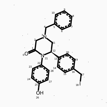 O=C1CN(Cc2ccccc2)C[C@@H](c2ccc(CI)cc2)N1c1ccc(O)cc1